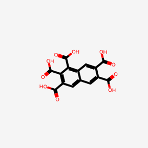 O=C(O)c1cc2cc(C(=O)O)c(C(=O)O)c(C(=O)O)c2cc1C(=O)O